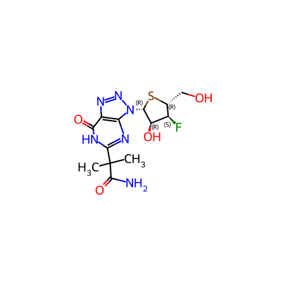 CC(C)(C(N)=O)c1nc2c(nnn2[C@@H]2S[C@H](CO)[C@@H](F)[C@H]2O)c(=O)[nH]1